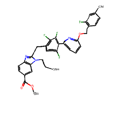 COCCn1c(Cc2cc(F)c(-c3cccc(OCc4ccc(C#N)cc4F)n3)c(F)c2F)nc2ccc(C(=O)OC(C)(C)C)cc21